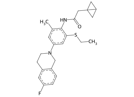 CCSc1cc(N2CCc3cc(F)ccc3C2)cc(C)c1NC(=O)CC12CC1C2